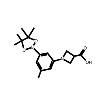 Cc1cc(B2OC(C)(C)C(C)(C)O2)cc(N2CC(C(=O)O)C2)c1